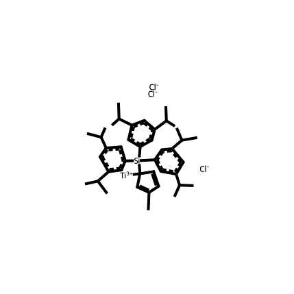 CC1=C[C]([Ti+3])([Si](c2cc(C(C)C)cc(C(C)C)c2)(c2cc(C(C)C)cc(C(C)C)c2)c2cc(C(C)C)cc(C(C)C)c2)C=C1.[Cl-].[Cl-].[Cl-]